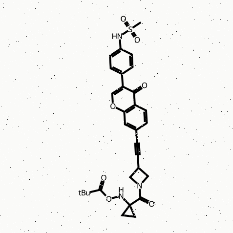 CC(C)(C)C(=O)ONC1(C(=O)N2CC(C#Cc3ccc4c(=O)c(-c5ccc(NS(C)(=O)=O)cc5)coc4c3)C2)CC1